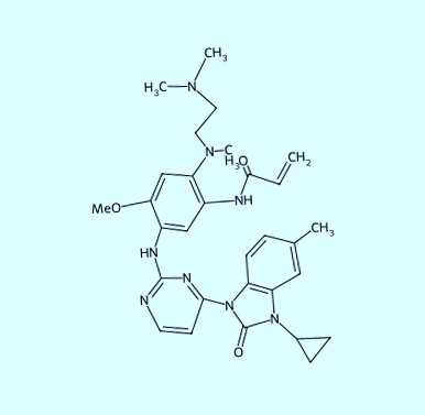 C=CC(=O)Nc1cc(Nc2nccc(-n3c(=O)n(C4CC4)c4cc(C)ccc43)n2)c(OC)cc1N(C)CCN(C)C